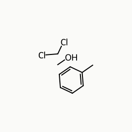 CO.Cc1ccccc1.ClCCl